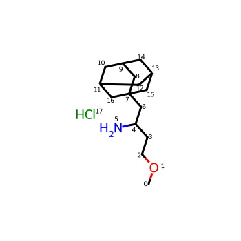 COCCC(N)CC12CC3CC(CC(C3)C1)C2.Cl